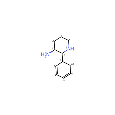 N[C@H]1CCCN[C@H]1C1C=CC=CC1